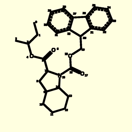 CCC(C)OC(=O)C1CC2CCCCC2N1C(=O)OCC1c2ccccc2-c2ccccc21